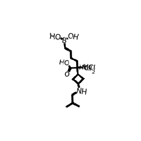 CC(C)CNC1CC(C(N)(CCCCB(O)O)C(=O)O)C1.Cl.Cl